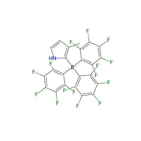 Cc1cc[nH]c1[B-](c1c(F)c(F)c(F)c(F)c1F)(c1c(F)c(F)c(F)c(F)c1F)c1c(F)c(F)c(F)c(F)c1F